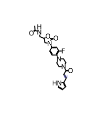 CC(=O)NCC1CN(c2ccc(N3CCN(C(=O)/C=C/c4ccc[nH]4)CC3)c(F)c2)C(=O)O1